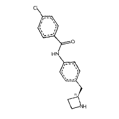 O=C(Nc1ccc(C[C@@H]2CCN2)cc1)c1ccc(Cl)cc1